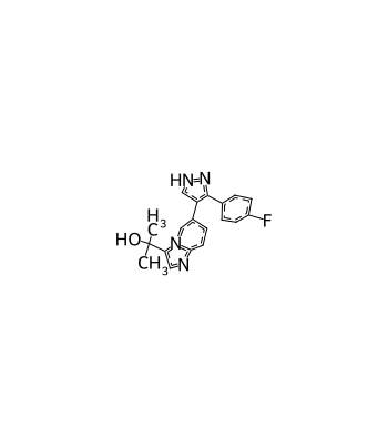 CC(C)(O)c1cnc2ccc(-c3c[nH]nc3-c3ccc(F)cc3)cn12